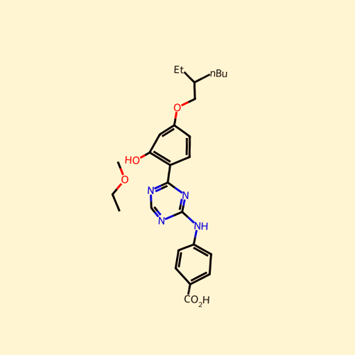 CCCCC(CC)COc1ccc(-c2ncnc(Nc3ccc(C(=O)O)cc3)n2)c(O)c1.CCOC